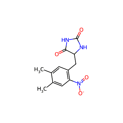 Cc1cc(CC2NC(=O)NC2=O)c([N+](=O)[O-])cc1C